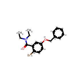 CCN(CC)C(=O)c1cc(OCc2ccccc2)ccc1Br